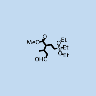 CCO[Si](CC)(CCC(C(=O)OC)C(C)CC=O)OCC